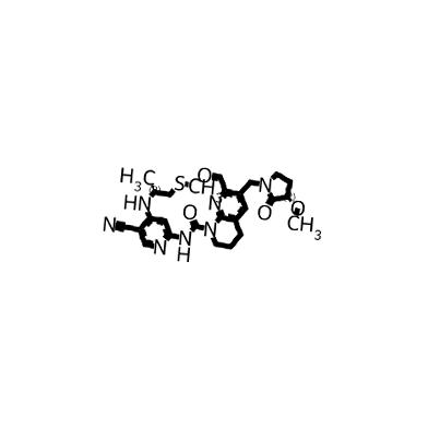 CO[C@@H]1CCN(Cc2cc3c(nc2C=O)N(C(=O)Nc2cc(N[C@H](C)CSC)c(C#N)cn2)CCC3)C1=O